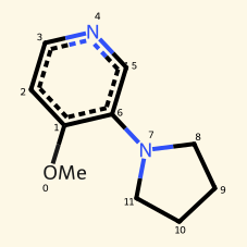 COc1ccn[c]c1N1CCCC1